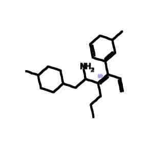 C=C/C(C1=CC(C)CC=C1)=C(\CCC)C(N)CC1CCC(C)CC1